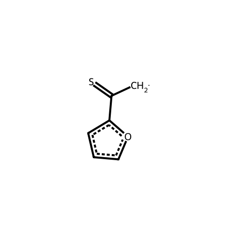 [CH2]C(=S)c1ccco1